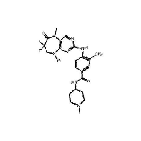 COc1cc(C(=O)NC2CCN(C)CC2)ccc1Nc1ncc2c(n1)N(C(C)C)CC(F)(F)C(=O)N2C